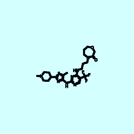 Cc1sc(C2CCN(C)CC2)nc1Nc1ncc(C(F)(F)F)c(NCCCN2CCCOCC2=O)n1